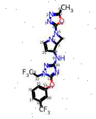 Cc1nnc(N2CC3C(Nc4nc(Oc5cccc(C(F)(F)F)c5)n(CC(F)(F)F)n4)C=CN32)o1